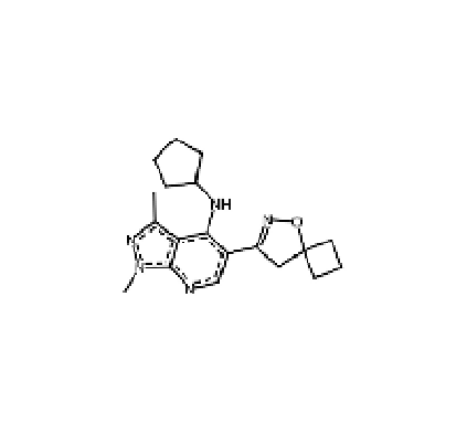 Cc1nn(C)c2ncc(C3=NOC4(CCC4)C3)c(NC3CCCC3)c12